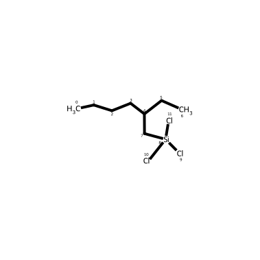 CCCCC(CC)C[Si](Cl)(Cl)Cl